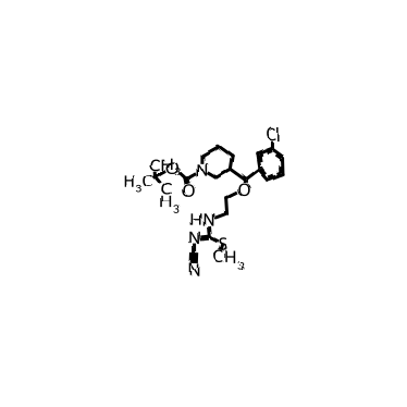 CSC(=NC#N)NCCOC(c1cccc(Cl)c1)C1CCCN(C(=O)OC(C)(C)C)C1